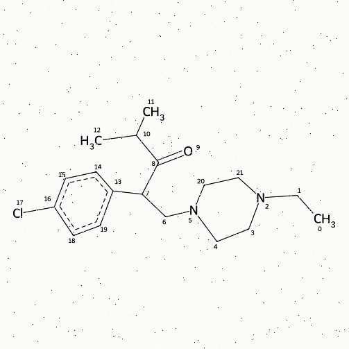 CCN1CCN(CC(C(=O)C(C)C)c2ccc(Cl)cc2)CC1